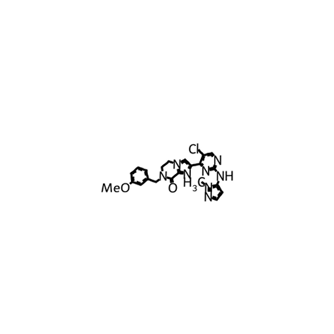 COc1cccc(CN2CCn3cc(-c4nc(Nc5ccnn5C)ncc4Cl)nc3C2=O)c1